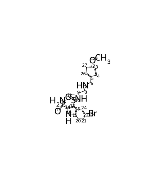 COc1ccc(CNCCN[S+]([O-])c2c(C(N)=O)[nH]c3ccc(Br)cc23)cc1